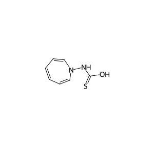 OC(=S)NN1C=CC=CC=C1